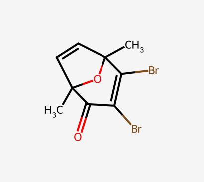 CC12C=CC(C)(O1)C(Br)=C(Br)C2=O